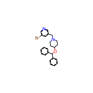 Brc1cncc(CN2CCC(OC(c3ccccc3)c3ccccc3)CC2)c1